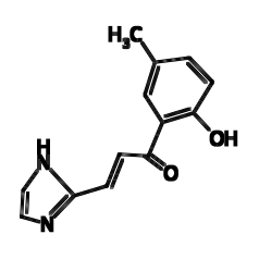 Cc1ccc(O)c(C(=O)C=Cc2ncc[nH]2)c1